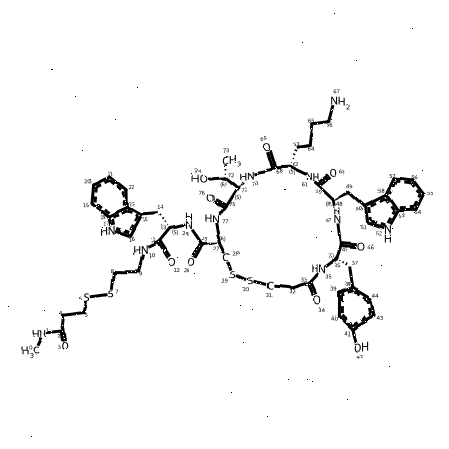 CNC(=O)CCSSCCNC(=O)[C@H](Cc1c[nH]c2ccccc12)NC(=O)[C@@H]1CSSCCC(=O)N[C@@H](Cc2ccc(O)cc2)C(=O)N[C@H](Cc2c[nH]c3ccccc23)C(=O)N[C@@H](CCCCN)C(=O)N[C@@H]([C@@H](C)O)C(=O)N1